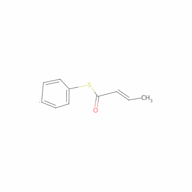 CC=CC(=O)Sc1cc[c]cc1